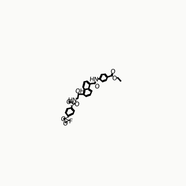 CCOC(=O)c1ccc(NC(=O)c2cccc3c(C(O)CNS(=O)(=O)c4ccc(S(=O)(=O)F)cc4)cccc23)cc1